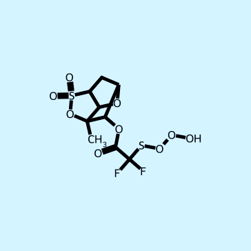 CC12OS(=O)(=O)C3CC(OC31)C2OC(=O)C(F)(F)SOOO